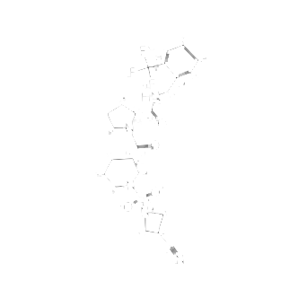 N#CC1CN(S(=O)(=O)N2CCC[C@H](C(=O)N3CCC[C@@H]3C(=O)NCc3ccccc3C(F)(F)F)C2)C1